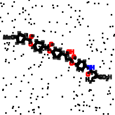 C=C(CC(=O)Nc1ccc(OC(=O)CC(O)c2ccc(OC(=O)c3ccc(OC(=O)c4ccc(OC)cc4)cc3)cc2)cc1)C(=O)O